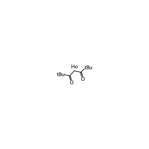 CC(C)(C)C(=O)CC(=O)C(C)(C)C.[Ho]